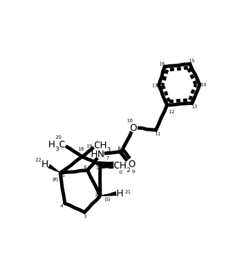 C=C1[C@@H]2CC[C@@H](C2NC(=O)OCc2ccccc2)C1(C)C